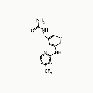 NC(=O)NCC1=C[CH]CC(Nc2nccc(C(F)(F)F)n2)=C1